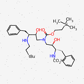 CC(C)(C)CCN[C@@H](Cc1ccccc1)C(O)CN(C[C@@H](O)[C@H](Cc1ccccc1)NC(=O)O)C(=O)OCC[Si](C)(C)C